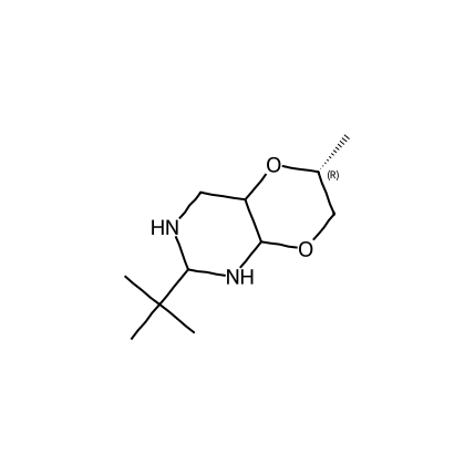 C[C@@H]1COC2NC(C(C)(C)C)NCC2O1